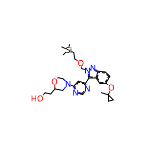 CC1(Oc2ccc3nn(COCC[Si](C)(C)C)c(-c4cc(N5CCOC(CCO)C5)ncn4)c3c2)CC1